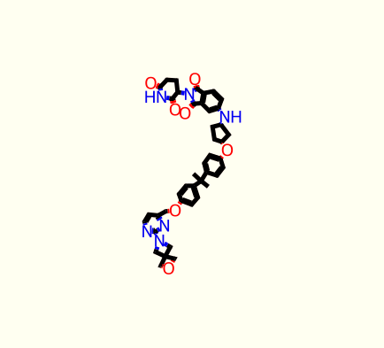 CC(C)(c1ccc(OCc2ccnc(N3CC4(COC4)C3)n2)cc1)c1ccc(OC2CCC(Nc3ccc4c(c3)C(=O)N(C3CCC(=O)NC3=O)C4=O)C2)cc1